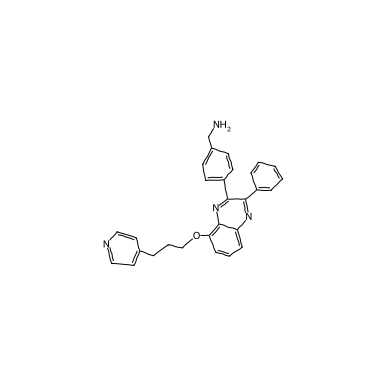 NCc1ccc(-c2nc3c(OCCCc4ccncc4)cccc3nc2-c2ccccc2)cc1